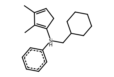 CC1=CCC([SiH](CC2CCCCC2)c2ccccc2)=C1C